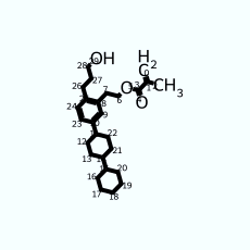 C=C(C)C(=O)OCCc1cc(C2CCC(C3CCCCC3)CC2)ccc1CCCO